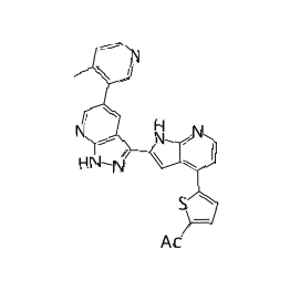 CC(=O)c1ccc(-c2ccnc3[nH]c(-c4n[nH]c5ncc(-c6cnccc6C)cc45)cc23)s1